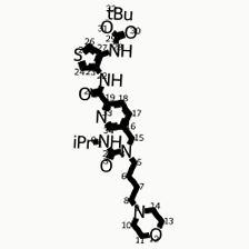 CC(C)NC(=O)N(CCCCN1CCOCC1)Cc1ccc(C(=O)Nc2cscc2NC(=O)OC(C)(C)C)nc1